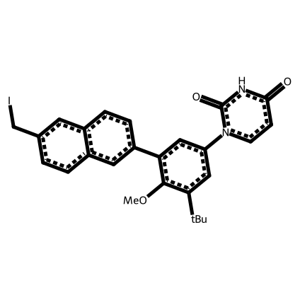 COc1c(-c2ccc3cc(CI)ccc3c2)cc(-n2ccc(=O)[nH]c2=O)cc1C(C)(C)C